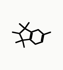 CC1=CCC2=C(C1)C(C)(C)C(C)C2(C)C